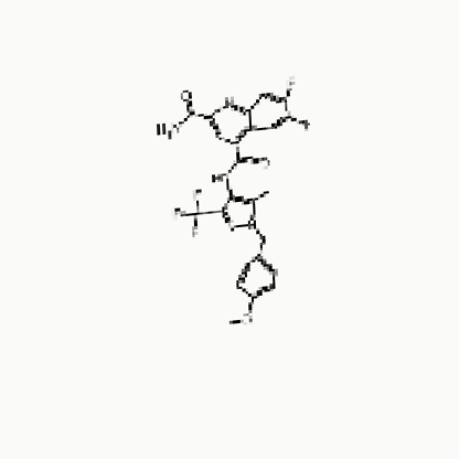 COc1ccc(Cn2nc(C(F)(F)F)c(NC(=O)c3cc(C(N)=O)nc4cc(F)c(F)cc34)c2C)cc1